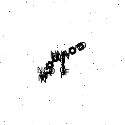 C[C@@H](Cn1cnnn1)Oc1cc(-c2cnc(Nc3cn(C4CCC(N5CCOCC5)CC4)nc3OCCCOC(F)F)nc2)ccc1C#N